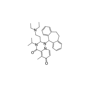 CCN(CC)CCC1N(C(C)C)C(=O)c2c(C)c(=O)ccn2N1C1c2ccccc2CCc2ccccc21